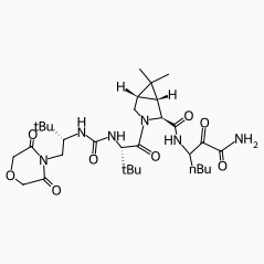 CCCCC(NC(=O)[C@@H]1[C@@H]2[C@H](CN1C(=O)[C@@H](NC(=O)N[C@H](CN1C(=O)COCC1=O)C(C)(C)C)C(C)(C)C)C2(C)C)C(=O)C(N)=O